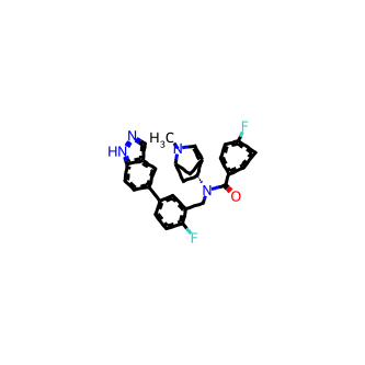 CN1C=C2CC1C[C@H]2N(Cc1cc(-c2ccc3[nH]ncc3c2)ccc1F)C(=O)c1ccc(F)cc1